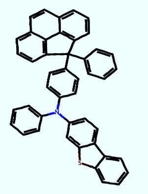 c1ccc(N(c2ccc(C3(c4ccccc4)c4cccc5ccc6cccc3c6c45)cc2)c2ccc3c(c2)sc2ccccc23)cc1